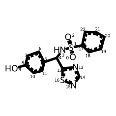 O=S(=O)(NC(c1ccc(O)cc1)c1ncns1)c1ccccc1